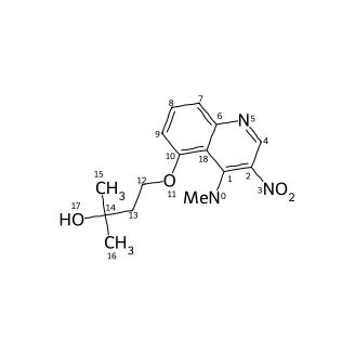 CNc1c([N+](=O)[O-])cnc2cccc(OCCC(C)(C)O)c12